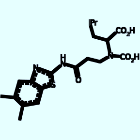 Cc1cc2nc(NC(=O)CCN(C(=O)O)C(CC(C)C)C(=O)O)sc2cc1C